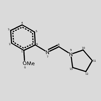 COc1ccccc1N=CN1CCCC1